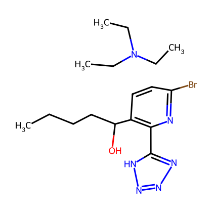 CCCCC(O)c1ccc(Br)nc1-c1nnn[nH]1.CCN(CC)CC